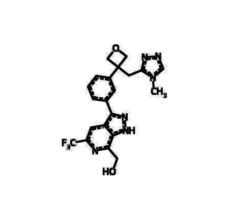 Cn1cnnc1CC1(c2cccc(-c3n[nH]c4c(CO)nc(C(F)(F)F)cc34)c2)COC1